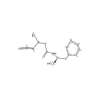 CCC(CC(=O)N[C@@H](Cc1ccccc1)C(=O)O)N=[N+]=[N-]